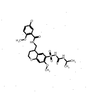 COc1ccc(Cl)cc1C(=O)NCC1CCOc2cc(OC)c(S(=O)(=O)NC(=S)NC(C)C)cc21